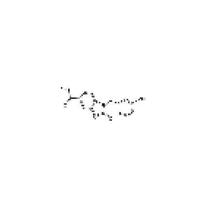 COC(=O)c1ccc2c(c1)oc(=O)n2Cc1cccc(N)c1